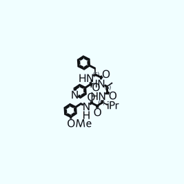 COc1cccc(CNC(=O)C(=O)[C@@H](NC(=O)[C@H](C)NC(=O)[C@H](Cc2ccccc2)NC(=O)c2ccncc2)C(C)C)c1